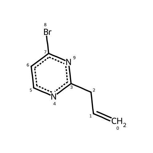 C=CCc1nccc(Br)n1